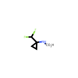 O=C(O)NC1(C(F)F)CC1